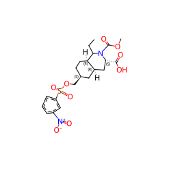 CCC1[C@@H]2CC[C@H](COS(=O)(=O)c3cccc([N+](=O)[O-])c3)C[C@@H]2C[C@@H](C(=O)O)N1C(=O)OC